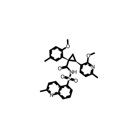 COc1ccc(C)cc1[C@@]1(C(=O)NS(=O)(=O)c2cccc3nc(C)ccc23)C[C@H]1c1ccc(C)nc1OC